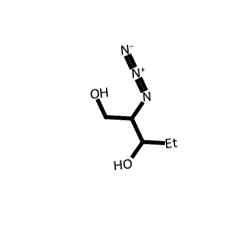 CCC(O)C(CO)N=[N+]=[N-]